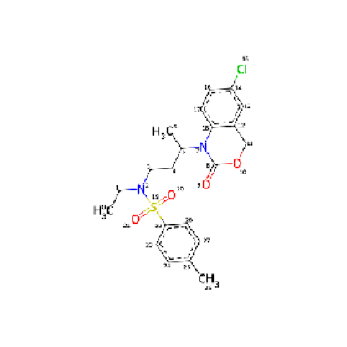 CCN(CCC(C)N1C(=O)OCc2cc(Cl)ccc21)S(=O)(=O)c1ccc(C)cc1